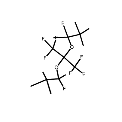 CC(C)(C)C(C)(F)OC(OC(C)(F)C(C)(C)C)(C(F)(F)F)C(F)(F)F